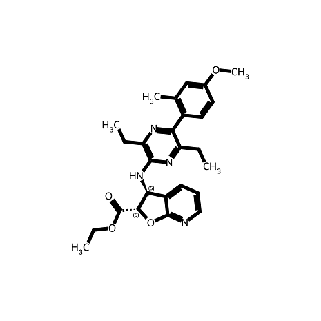 CCOC(=O)[C@H]1Oc2ncccc2[C@@H]1Nc1nc(CC)c(-c2ccc(OC)cc2C)nc1CC